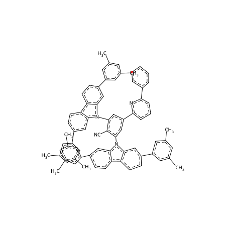 Cc1cc(C)cc(-c2ccc3c4ccc(-c5cc(C)cc(C)c5)cc4n(-c4cc(-c5cccc(-c6ccccc6)n5)cc(-n5c6cc(-c7cc(C)cc(C)c7)ccc6c6ccc(-c7cc(C)cc(C)c7)cc65)c4C#N)c3c2)c1